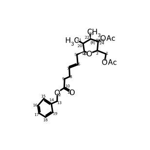 CC(=O)OCC1O[C@@H](CC=CCCC(=O)OCc2ccccc2)C(C)[C@@H](C)[C@H]1OC(C)=O